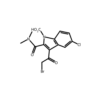 CN(C)C(=O)c1c(C(=O)CBr)c2cc(Cl)ccc2n1C(=O)O